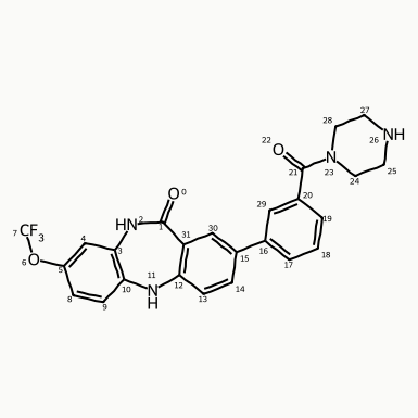 O=C1Nc2cc(OC(F)(F)F)ccc2Nc2ccc(-c3cccc(C(=O)N4CCNCC4)c3)cc21